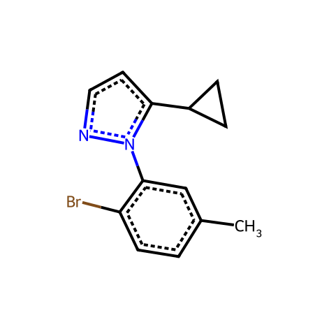 Cc1ccc(Br)c(-n2nccc2C2CC2)c1